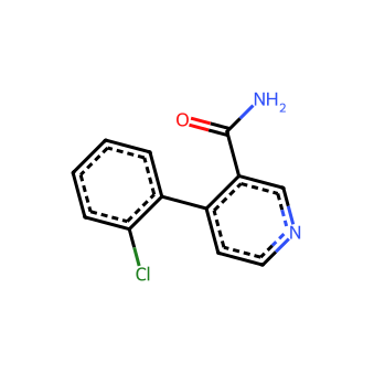 NC(=O)c1cnccc1-c1ccccc1Cl